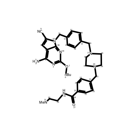 CCCCOc1nc(N)c2cc(C#N)n(Cc3ccc(CN4CCN(Cc5ccc(C(=O)NCCNC)cc5)CC4)cc3)c2n1